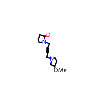 COC1CCN(CC#CCN2CCCC2=O)C1